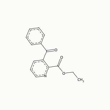 CCOC(=O)c1ncccc1C(=O)c1ccccc1